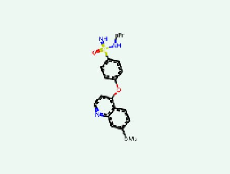 CCCNS(=N)(=O)c1ccc(Oc2ccnc3cc(OC)ccc23)cc1